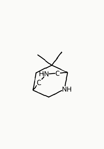 CC1(C)CC2CNCC1NC2